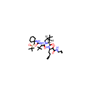 C#CCCC(NC(=O)[C@@H]1[C@@H]2[C@H](CN1C(=O)[C@@H](NC(=O)NC1(C[S+]([O-])C(C)(C)C)CCCCC1)C(C)(C)C)C2(C)C)C(=O)C(=O)NCC=C